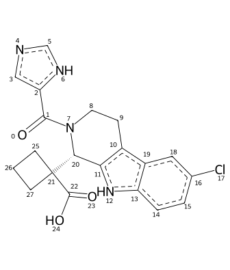 O=C(c1cnc[nH]1)N1CCc2c([nH]c3ccc(Cl)cc23)[C@@H]1C1(C(=O)O)CCC1